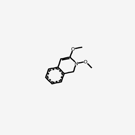 COC1=Cc2ccccc2CN1OC